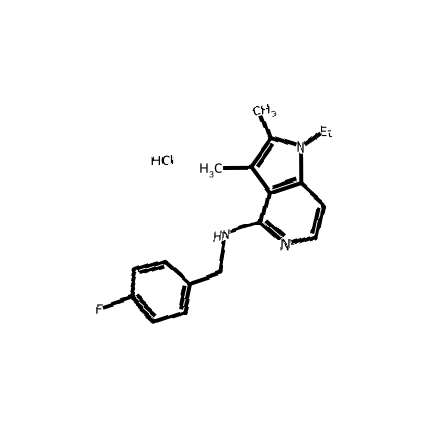 CCn1c(C)c(C)c2c(NCc3ccc(F)cc3)nccc21.Cl